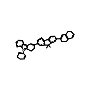 CC1(C)c2cc(C3=CC4=C(C=CCC4)CC3)ccc2-c2ccc(C3=Cc4c(n(C5=CCCC=C5)c5ccccc45)CC3)cc21